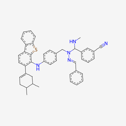 CNC(c1cccc(C#N)c1)N(Cc1ccc(Nc2c(C3=CCC(C)C(C)C3)ccc3c2sc2ccccc23)cc1)/N=C/c1ccccc1